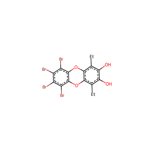 CCc1c(O)c(O)c(CC)c2c1Oc1c(Br)c(Br)c(Br)c(Br)c1O2